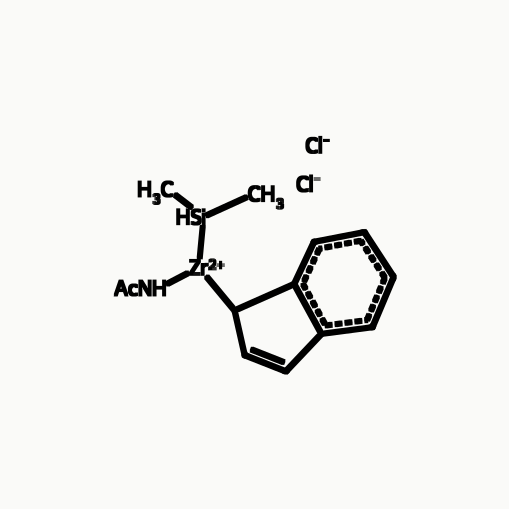 CC(=O)[NH][Zr+2]([CH]1C=Cc2ccccc21)[SiH](C)C.[Cl-].[Cl-]